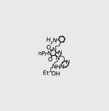 CCCn1c(=O)c2c(nc(Cc3cnccn3)n2CCNCC(O)CC)n(CCc2ccccc2N)c1=O